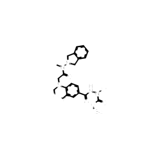 CCN(NC(=O)c1ccc(N(CC(=O)O)CC(=O)N(C)N2Cc3ccccc3C2)c(C)c1)C(=O)OC(C)(C)C